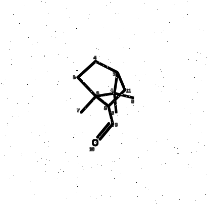 CC1(C)C2CCC1(C)C([C]=O)C2